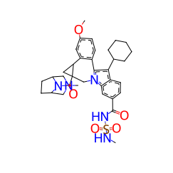 CNS(=O)(=O)NC(=O)c1ccc2c(C3CCCCC3)c3n(c2c1)CC1(C(=O)N2C4CCC2CN(C)C4)CC1c1cc(OC)ccc1-3